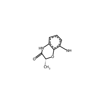 C[C@H]1Oc2c([NH])cccc2NC1=O